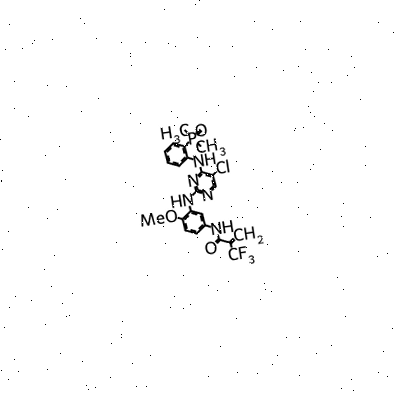 C=C(C(=O)Nc1ccc(OC)c(Nc2ncc(Cl)c(Nc3ccccc3P(C)(C)=O)n2)c1)C(F)(F)F